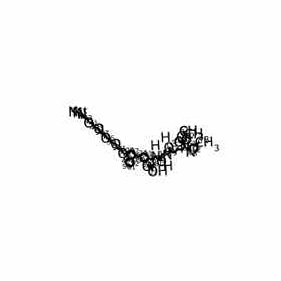 Cc1ccnc(N(CCCC(=O)NCC(=O)N[C@@H](CC(=O)O)c2ccc(-c3ccc(OCCOCCOCCOCCOCCN=[N+]=[N-])c4ccccc34)cc2)C(=O)OC(C)(C)C)c1